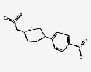 O=[N+]([O-])c1ccc(N2CCN(C[SH](=O)=O)CC2)cc1